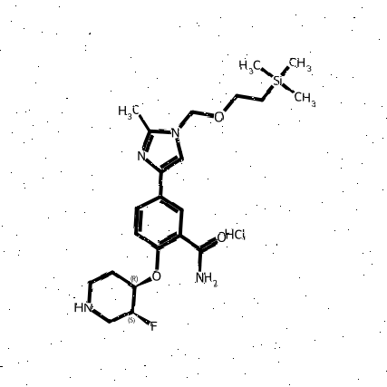 Cc1nc(-c2ccc(O[C@@H]3CCNC[C@@H]3F)c(C(N)=O)c2)cn1COCC[Si](C)(C)C.Cl